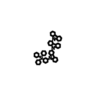 c1ccc([Si](c2ccccc2)(c2ccccc2)c2cccc(-n3c4ccccc4c4cc(-n5c6ccccc6c6c(-n7c8ccccc8c8ccccc87)cccc65)ccc43)c2)cc1